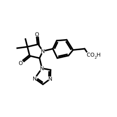 CC1(C)C(=O)C(n2cncn2)N(c2ccc(CC(=O)O)cc2)C1=O